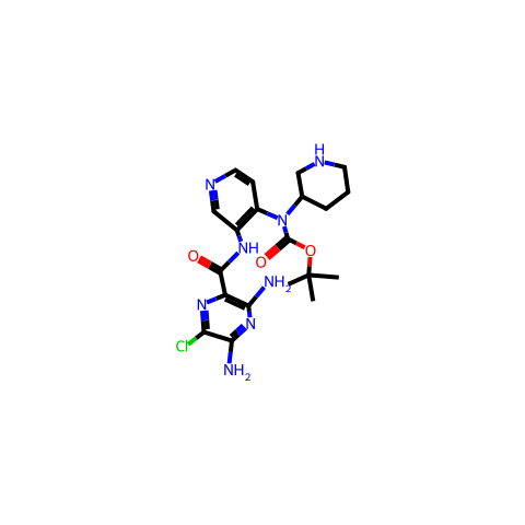 CC(C)(C)OC(=O)N(c1ccncc1NC(=O)c1nc(Cl)c(N)nc1N)C1CCCNC1